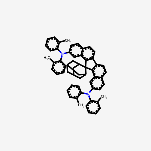 Cc1ccccc1N(c1ccc2ccc3c(c2c1)C1(c2c-3ccc3ccc(N(c4ccccc4C)c4ccccc4C)cc23)C2CC3CC(C2)CC1C3)c1ccccc1C